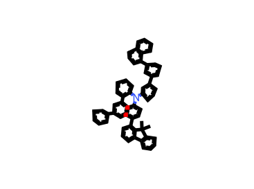 CC1(C)c2ccccc2-c2cccc(-c3ccc(N(c4cccc(-c5cccc(-c6cccc7ccccc67)c5)c4)c4ccccc4-c4cccc(-c5ccccc5)c4)cc3)c21